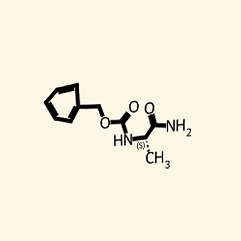 C[C@H](NC(=O)OCc1ccccc1)C(N)=O